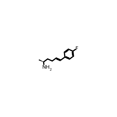 C[C@H](N)CCC=Cc1ccc(F)cc1